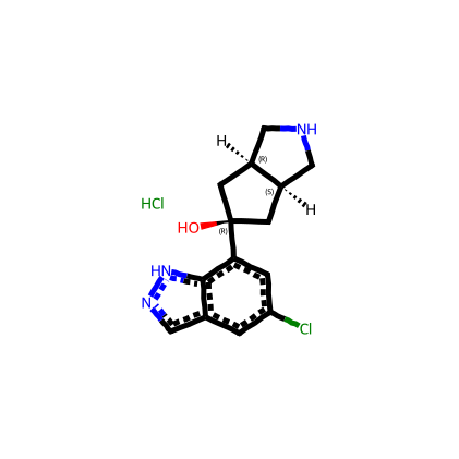 Cl.O[C@@]1(c2cc(Cl)cc3cn[nH]c23)C[C@H]2CNC[C@H]2C1